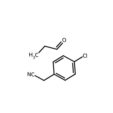 CCC=O.N#CCc1ccc(Cl)cc1